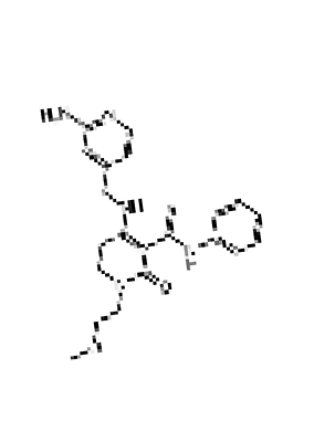 COCCN1CCC(NCc2ccnc(N)c2)=C(C(=S)Nc2ccccc2)C1=O